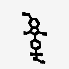 CCCNS(=O)(=O)c1ccc(-c2c(C#N)c3ccc(OC)cc3n2CC)cc1